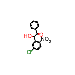 O=C(c1ccccc1)C(O)c1cc(Cl)ccc1[N+](=O)[O-]